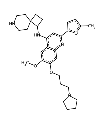 COc1cc2c(NC3CCC34CCNCC4)cc(-c3ccc(C)o3)nc2cc1OCCCN1CCCC1